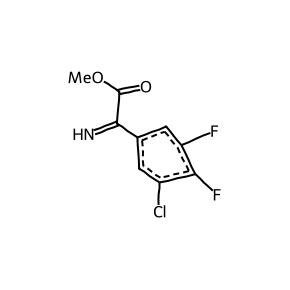 COC(=O)C(=N)c1cc(F)c(F)c(Cl)c1